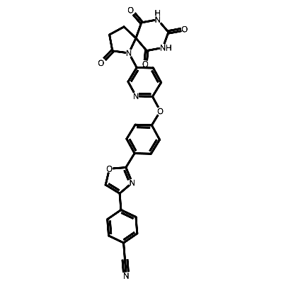 N#Cc1ccc(-c2coc(-c3ccc(Oc4ccc(N5C(=O)CCC56C(=O)NC(=O)NC6=O)cn4)cc3)n2)cc1